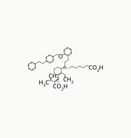 C=CC1=C(/C=C(\C(=C)C)C(=O)O)CCCC1[C@@H](CCCCCCC(=O)O)CCc1ccccc1OCc1ccc(CCc2ccccc2)cc1